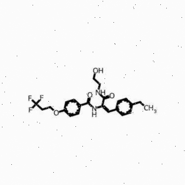 CCc1ccc(/C=C(/NC(=O)c2ccc(OCCC(F)(F)F)cc2)C(=O)NCCO)cc1